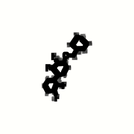 Fc1cccc(-c2ccc(OCc3ccccc3)c(F)c2F)c1F